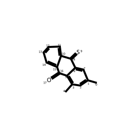 Cc1cc(C)c2c(c1)C(=S)c1ccccc1C2=O